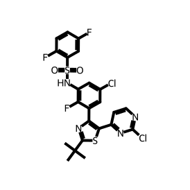 CC(C)(C)c1nc(-c2cc(Cl)cc(NS(=O)(=O)c3cc(F)ccc3F)c2F)c(-c2ccnc(Cl)n2)s1